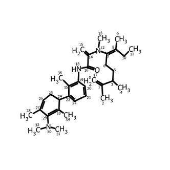 C=C(C)C(C)CC/C(=C(/C)CC)N(C)C(=C)C(=O)Nc1cccc(C2CC=C(C)C(N(C)C)=C2C)c1C